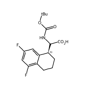 CC(C)(C)OC(=O)NC(C(=O)O)[C@H]1CCCc2c(F)cc(F)cc21